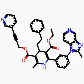 CCOC(=O)C1=C(c2cccc(-n3c(C)nc4cnccc43)c2)NC(C)=C(C(=O)OCC#Cc2cccnc2)C1CCc1ccccc1